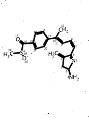 C=C1CC(N)N=C1/C=C\C=C(/C)c1ccc(C(=O)[S+](C)[O-])cc1